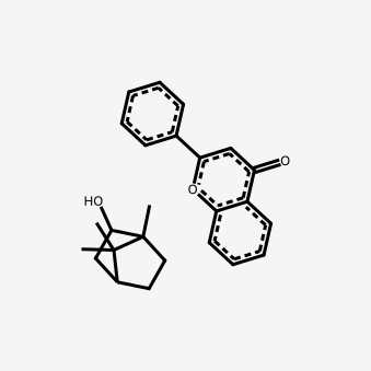 CC1(C)C2CCC1(C)C(O)C2.O=c1cc(-c2ccccc2)oc2ccccc12